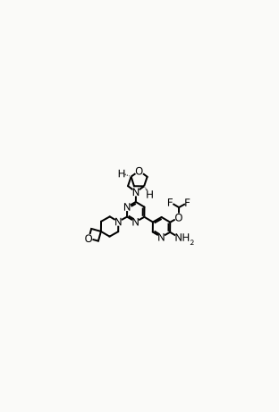 Nc1ncc(-c2cc(N3C[C@@H]4C[C@H]3CO4)nc(N3CCC4(CC3)COC4)n2)cc1OC(F)F